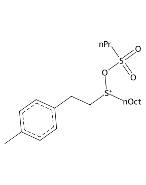 CCCCCCCC[S+](CCc1ccc(C)cc1)OS(=O)(=O)CCC